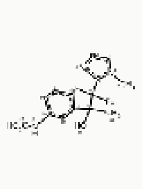 Cn1cnnc1C(F)(F)C(C)(O)c1cccc(NC(=O)O)c1